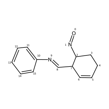 O=NC1CCC=CC1/C=N/c1ccccc1